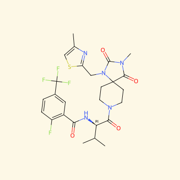 Cc1csc(CN2C(=O)N(C)C(=O)C23CCN(C(=O)[C@H](NC(=O)c2cc(C(F)(F)F)ccc2F)C(C)C)CC3)n1